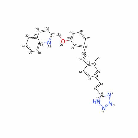 Cc1cc(C=Cc2nnn[nH]2)ccc1C=Cc1cccc(OCc2ccc3ccccc3n2)c1